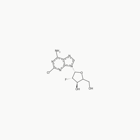 Nc1nc(Cl)nc2c1ncn2[C@@H]1OC(CO)[C@@H](O)[C@@H]1F